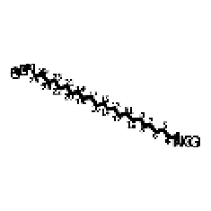 O=C=NCCCCCCCCCCCCCCCCCCCCCCCCN=C=O